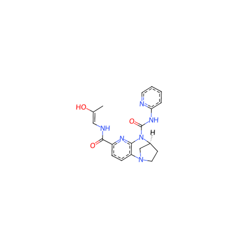 C/C(O)=C\NC(=O)c1ccc2c(n1)N(C(=O)Nc1ccccn1)[C@H]1CCN2C1